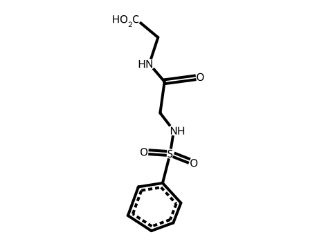 O=C(O)CNC(=O)CNS(=O)(=O)c1ccccc1